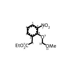 CCOC(=O)Cc1cccc([N+](=O)[O-])c1OCOC